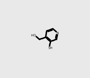 OCc1ccncc1S